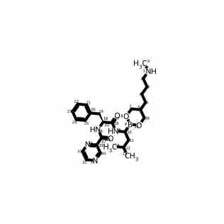 CNCCCCC1COB(C(CC(C)C)NC(=O)[C@H](Cc2ccccc2)NC(=O)c2cnccn2)OC1